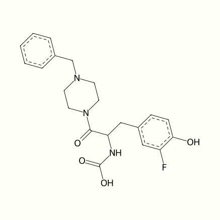 O=C(O)NC(Cc1ccc(O)c(F)c1)C(=O)N1CCN(Cc2ccccc2)CC1